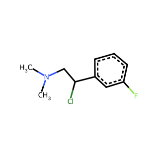 CN(C)CC(Cl)c1cccc(F)c1